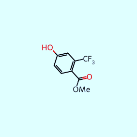 COC(=O)c1ccc(O)cc1C(F)(F)F